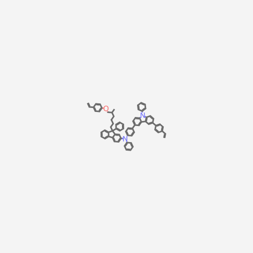 C=Cc1ccc(OCC(C)CCCCC2(c3ccccc3)c3ccccc3-c3ccc(N(c4ccccc4)c4ccc(-c5ccc6c(c5)c5cc(-c7ccc(C=C)cc7)ccc5n6-c5ccccc5)cc4)cc32)cc1